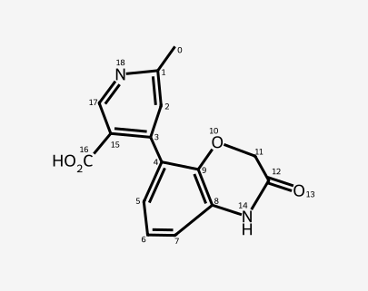 Cc1cc(-c2cccc3c2OCC(=O)N3)c(C(=O)O)cn1